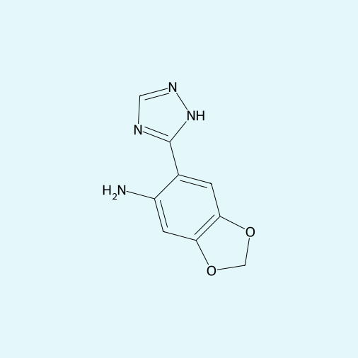 Nc1cc2c(cc1-c1ncn[nH]1)OCO2